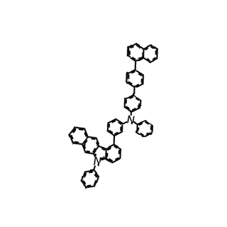 c1ccc(N(c2ccc(-c3ccc(-c4cccc5ccccc45)cc3)cc2)c2cccc(-c3cccc4c3c3cc5ccccc5cc3n4-c3ccccc3)c2)cc1